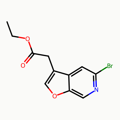 CCOC(=O)Cc1coc2cnc(Br)cc12